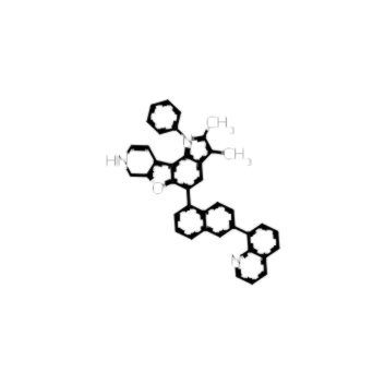 Cc1c(C)n(-c2ccccc2)c2c1cc(-c1cccc3cc(-c4cccc5cccnc45)ccc13)c1oc3c(c12)C=CNC3